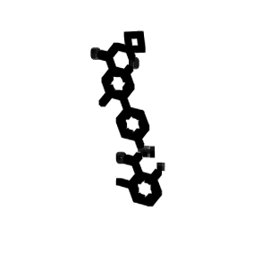 Cc1cc2c(cc1-c1ccc(NC(=O)c3c(C)cccc3F)cc1)OC1(CCC1)CC2=O